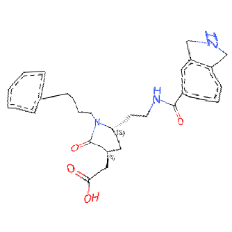 O=C(O)C[C@@H]1C[C@@H](CCNC(=O)c2ccc3c(c2)CNC3)N(CCCc2ccccc2)C1=O